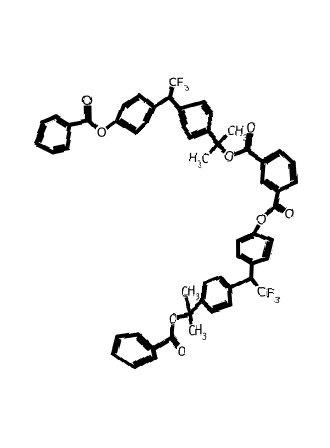 CC(C)(OC(=O)c1ccccc1)c1ccc(C(c2ccc(OC(=O)c3cccc(C(=O)OC(C)(C)c4ccc(C(c5ccc(OC(=O)c6ccccc6)cc5)C(F)(F)F)cc4)c3)cc2)C(F)(F)F)cc1